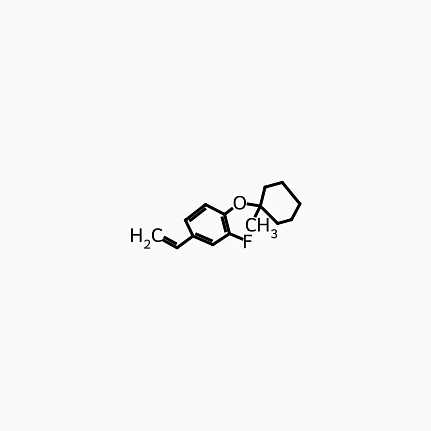 C=Cc1ccc(OC2(C)CCCCC2)c(F)c1